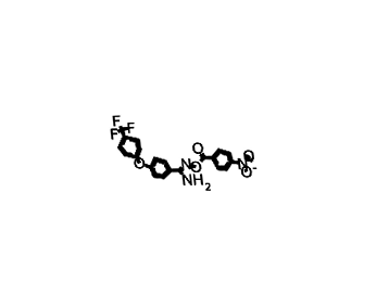 NC(=NOC(=O)c1ccc([N+](=O)[O-])cc1)c1ccc(Oc2ccc(C(F)(F)F)cc2)cc1